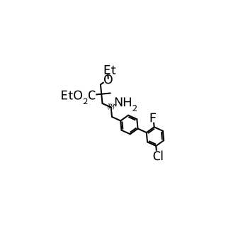 CCOCC(C)(C[C@H](N)Cc1ccc(-c2cc(Cl)ccc2F)cc1)C(=O)OCC